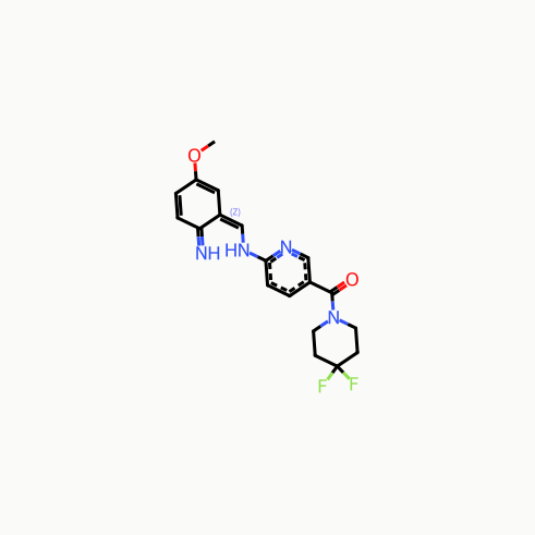 COC1=C/C(=C/Nc2ccc(C(=O)N3CCC(F)(F)CC3)cn2)C(=N)C=C1